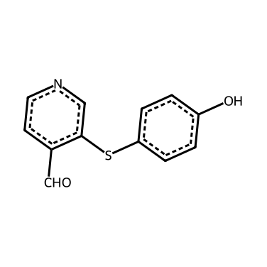 O=Cc1ccncc1Sc1ccc(O)cc1